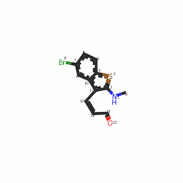 CNc1sc2ccc(Br)cc2c1/C=C\C=O